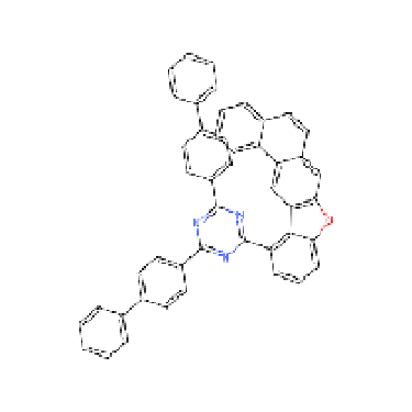 c1ccc(-c2ccc(-c3nc(-c4ccc(-c5ccccc5)cc4)nc(-c4cccc5oc6cc7ccc8ccccc8c7cc6c45)n3)cc2)cc1